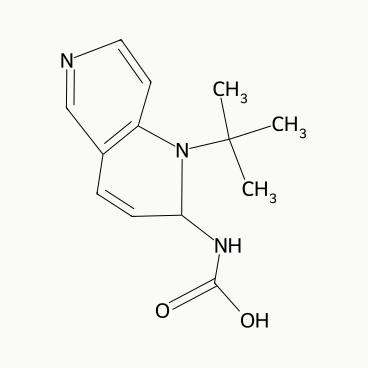 CC(C)(C)N1c2ccncc2C=CC1NC(=O)O